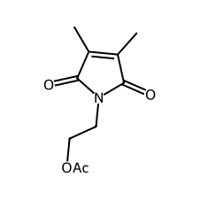 CC(=O)OCCN1C(=O)C(C)=C(C)C1=O